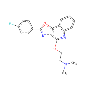 CN(C)CCOc1nc2ccccc2c2oc(-c3ccc(F)cc3)nc12